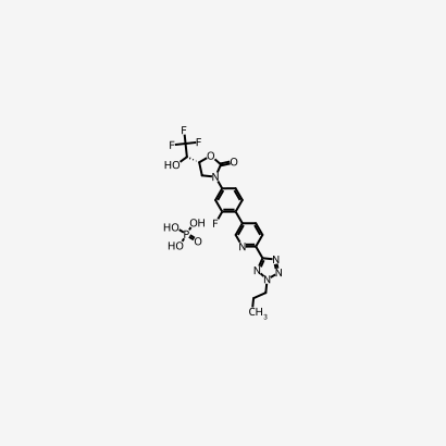 CCCn1nnc(-c2ccc(-c3ccc(N4C[C@H](C(O)C(F)(F)F)OC4=O)cc3F)cn2)n1.O=P(O)(O)O